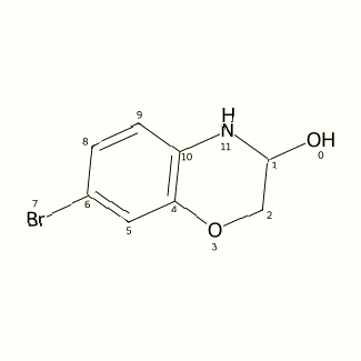 OC1COc2cc(Br)ccc2N1